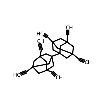 C#CC12CC3(C#C)CC(C#C)(C1)CC(C14CC5(C#C)CC(C#C)(CC(C#C)(C5)C1)C4)(C2)C3